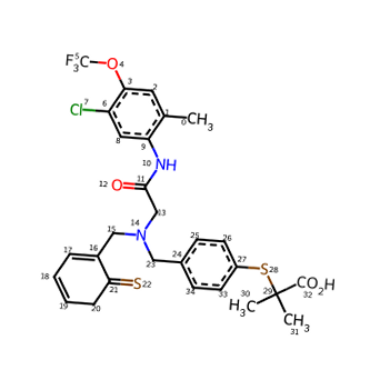 Cc1cc(OC(F)(F)F)c(Cl)cc1NC(=O)CN(CC1=CC=CCC1=S)Cc1ccc(SC(C)(C)C(=O)O)cc1